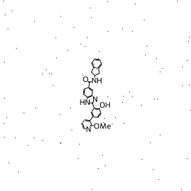 COc1ncccc1-c1ccc(O)c(-c2nc3cc(C(=O)NC4Cc5ccccc5C4)ccc3[nH]2)c1